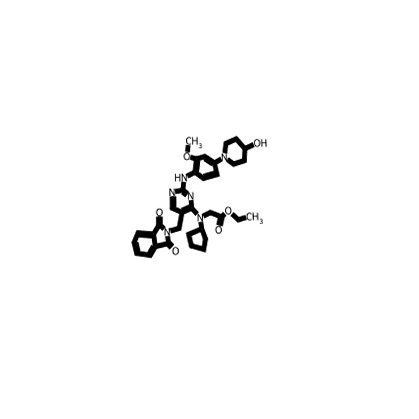 CCOC(=O)CN(c1nc(Nc2ccc(N3CCC(O)CC3)cc2OC)ncc1CN1C(=O)c2ccccc2C1=O)C1CCCC1